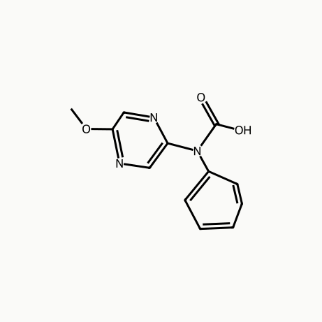 COc1cnc(N(C(=O)O)c2ccccc2)cn1